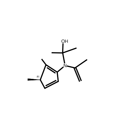 C=C(C)N(C1=C(C)[C@H](C)C=C1)C(C)(C)O